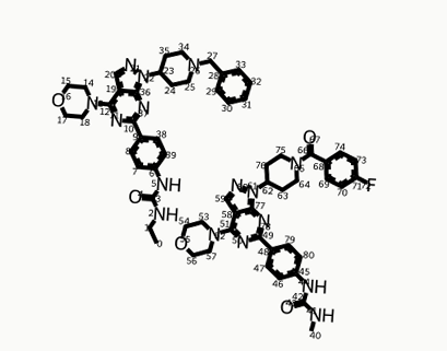 CCNC(=O)Nc1ccc(-c2nc(N3CCOCC3)c3cnn(C4CCN(Cc5ccccc5)CC4)c3n2)cc1.CNC(=O)Nc1ccc(-c2nc(N3CCOCC3)c3cnn(C4CCN(C(=O)c5ccc(F)cc5)CC4)c3n2)cc1